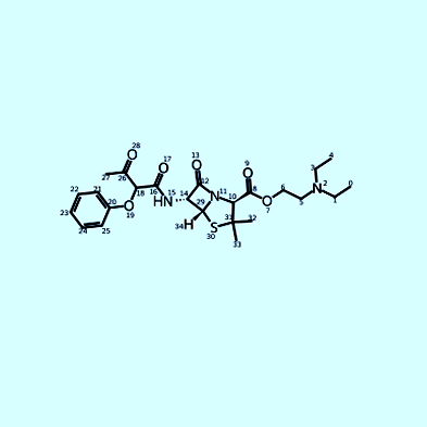 CCN(CC)CCOC(=O)[C@@H]1N2C(=O)[C@@H](NC(=O)C(Oc3ccccc3)C(C)=O)[C@H]2SC1(C)C